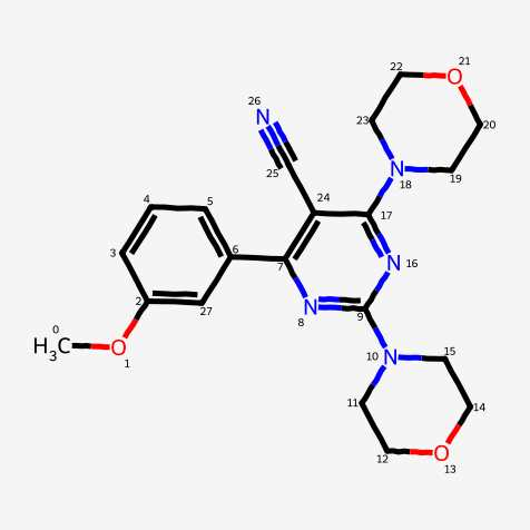 COc1cccc(-c2nc(N3CCOCC3)nc(N3CCOCC3)c2C#N)c1